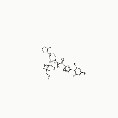 COCC(C)(C)NC(=O)[C@@H]1CN(C2CCCC2C)CC[C@H]1NC(=O)c1cc(-c2c(F)cc(F)cc2F)on1